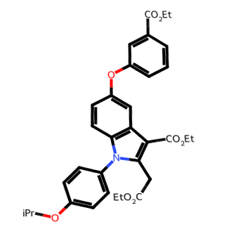 CCOC(=O)Cc1c(C(=O)OCC)c2cc(Oc3cccc(C(=O)OCC)c3)ccc2n1-c1ccc(OC(C)C)cc1